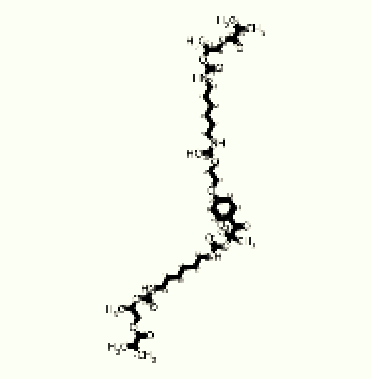 C=C(C)C(=O)OCC(C)OC(=O)NCCCCCCNC(=O)OC(C)(C)C(=O)c1ccc(OCCOC(O)NCCCCCCNC(=O)OC(C)COC(=O)C(=C)C)cc1